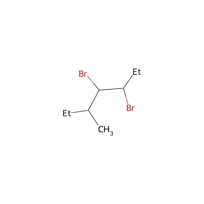 CCC(C)C(Br)C(Br)CC